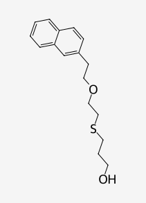 OCCCSCCOCCc1ccc2ccccc2c1